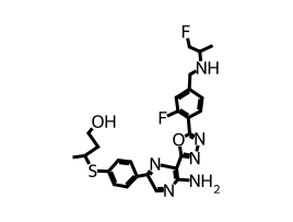 CC(CF)NCc1ccc(-c2nnc(-c3nc(-c4ccc(SC(C)CCO)cc4)cnc3N)o2)c(F)c1